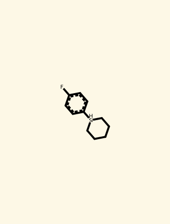 Fc1ccc([SiH]2CCCCC2)cc1